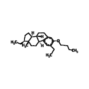 CCCCOc1cc2c(cc1CC)[C@H]1CC[C@]3(C)[C@@H](CC)CC[C@H]3[C@@H]1CC2